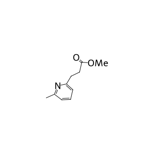 COC(=O)CCc1cccc(C)n1